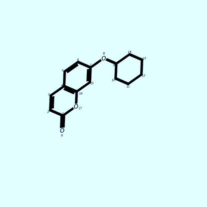 O=c1ccc2ccc(OC3CCCCC3)cc2o1